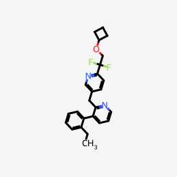 CCc1ccccc1-c1cccnc1Cc1ccc(C(F)(F)COC2CCC2)nc1